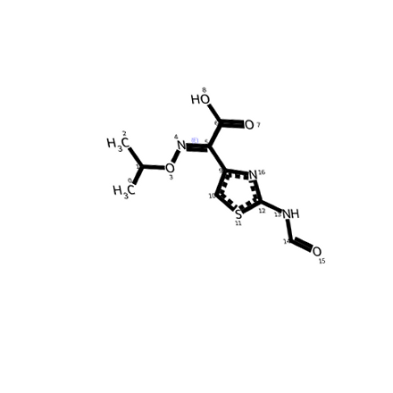 CC(C)O/N=C(/C(=O)O)c1csc(NC=O)n1